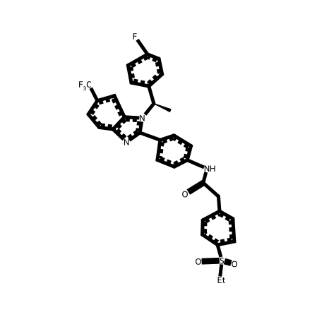 CCS(=O)(=O)c1ccc(CC(=O)Nc2ccc(-c3nc4ccc(C(F)(F)F)cc4n3[C@H](C)c3ccc(F)cc3)cc2)cc1